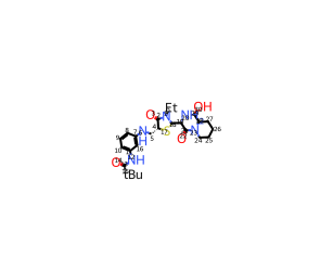 CCN1C(=O)[C@@H](CNc2cccc(NC(=O)C(C)(C)C)c2)SC1[C@H](N)C(=O)N1CCCCC1CO